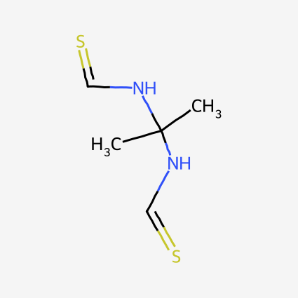 CC(C)(NC=S)NC=S